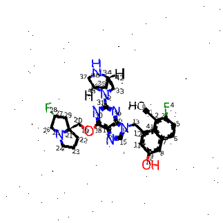 C#Cc1c(F)ccc2cc(O)cc(Cn3cnc4c(OC[C@@]56CCCN5C[C@H](F)C6)nc(N5C[C@@H]6C[C@H]5CN6)nc43)c12